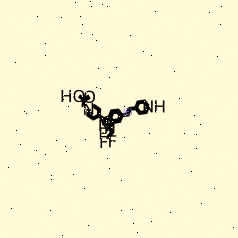 O=C(O)CN1CCC(c2nn(CC(F)(F)F)c3cc(/C=C/C4CCNCC4)ccc23)CC1